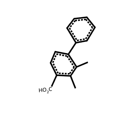 Cc1c(C(=O)O)ccc(-c2ccccc2)c1C